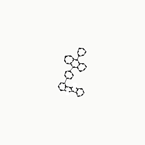 c1ccc(-c2c3ccccc3c(-c3ccc(-c4cccc5sc6c7ccccc7oc6c45)cc3)c3ccccc23)cc1